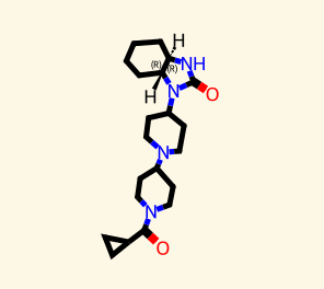 O=C(C1CC1)N1CCC(N2CCC(N3C(=O)N[C@@H]4CCCC[C@H]43)CC2)CC1